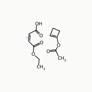 CC(=O)OC1=CCC1.CCOC(=O)/C=C\C(=O)O